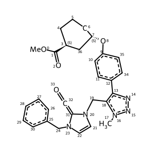 COC(=O)[C@H]1CCC[C@H](Oc2ccc(-c3nnn(C)c3CN3C=CN(Cc4ccccc4)C3=C=O)cc2)C1